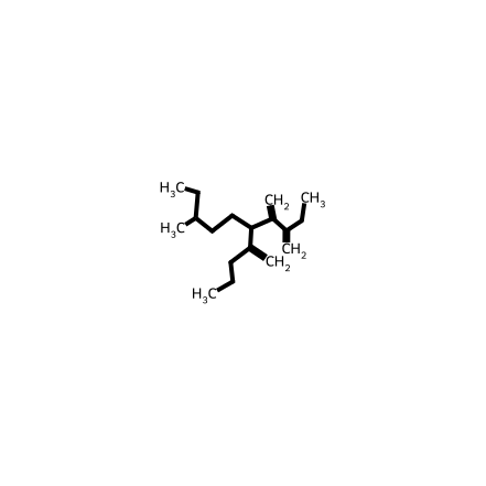 C=C(CC)C(=C)C(CCC(C)CC)C(=C)CCC